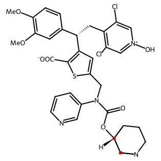 COc1ccc([C@H](Cc2c(Cl)c[n+](O)cc2Cl)c2cc(CN(C(=O)O[C@H]3CN4CCC3CC4)c3cccnc3)sc2C(=O)[O-])cc1OC